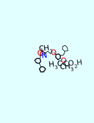 Cc1oc(-c2cccc(-c3ccccc3)c2)nc1CCOc1ccc(OC(C)(C)C(=O)O)c(CC2CCCCC2)c1